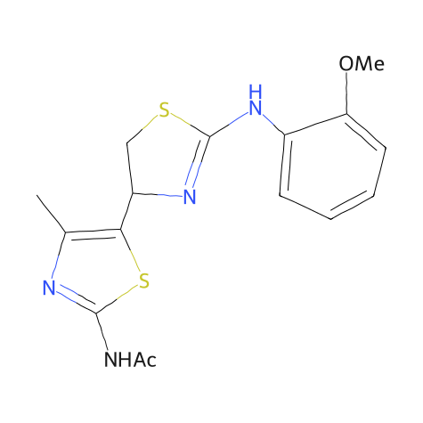 COc1ccccc1NC1=NC(c2sc(NC(C)=O)nc2C)CS1